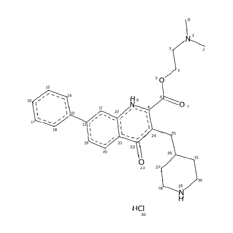 CN(C)CCOC(=O)c1[nH]c2cc(-c3ccccc3)ccc2c(=O)c1CC1CCNCC1.Cl